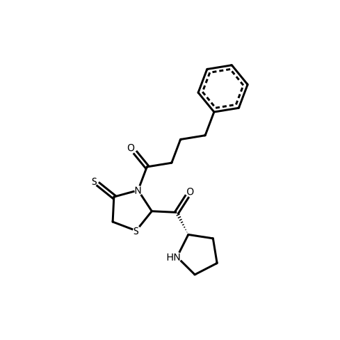 O=C(C1SCC(=S)N1C(=O)CCCc1ccccc1)[C@@H]1CCCN1